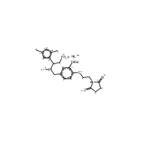 CCCN(Cc1ccc(OCCN2C(=O)CCC2=O)c(OC)c1)C(CC(=O)O)c1cc(C)sc1C.Cl